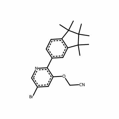 CC1(C)c2ccc(-c3ncc(Br)cc3OCC#N)cc2C(C)(C)C1(C)C